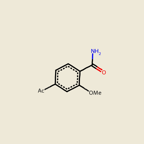 COc1cc(C(C)=O)ccc1C(N)=O